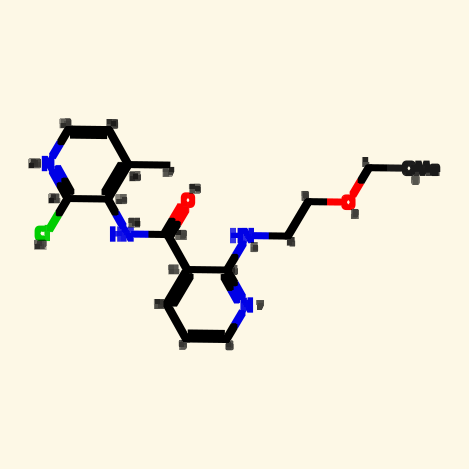 COCOCCNc1ncccc1C(=O)Nc1c(C)ccnc1Cl